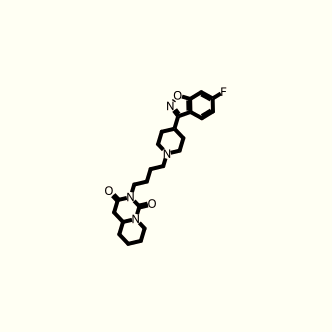 O=C1CC2CCCCN2C(=O)N1CCCCN1CCC(c2noc3cc(F)ccc23)CC1